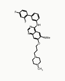 CNc1cc2c(Nc3cccc(-c4ccc(F)cc4F)c3)ncnc2cc1OCCCN1CCN(C)CC1